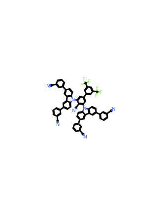 N#Cc1cccc(-c2ccc3c(c2)c2cc(-c4cccc(C#N)c4)ccc2n3-c2cc(-c3cc(C(F)(F)F)cc(C(F)(F)F)c3)cc(-n3c4ccc(-c5cccc(C#N)c5)cc4c4cc(-c5cccc(C#N)c5)ccc43)c2C#N)c1